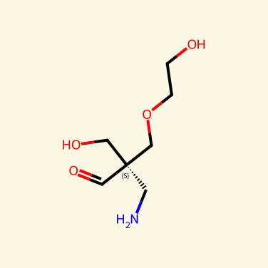 NC[C@](C=O)(CO)COCCO